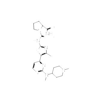 Cc1nc(NC(=O)N2CCC[C@@]2(C)C(N)=O)sc1-c1ccnc(N(C)C2CCN(C)CC2)n1